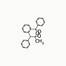 CC12OOC(c3ccccc3)(O1)c1ccccc1C2c1ccccc1